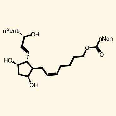 CCCCCCCCCC(=O)OCCCC/C=C\C[C@@H]1[C@@H](/C=C/[C@@H](O)CCCCC)[C@H](O)C[C@@H]1O